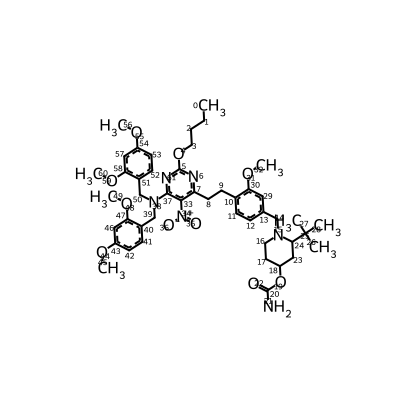 CCCCOc1nc(CCc2ccc(CN3CCC(OC(N)=O)CC3C(C)(C)C)cc2OC)c([N+](=O)[O-])c(N(Cc2ccc(OC)cc2OC)Cc2ccc(OC)cc2OC)n1